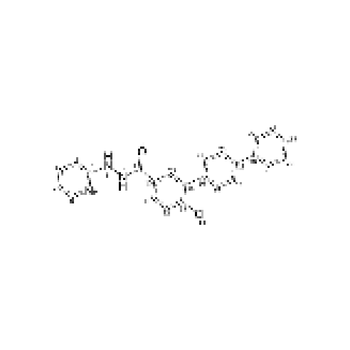 O=C(NNc1ccccn1)c1ccc(Cl)c(-c2ccc(-c3ccccc3)cc2)c1